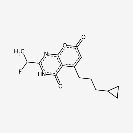 CC(F)c1nc2oc(=O)cc(CCCC3CC3)c2c(=O)[nH]1